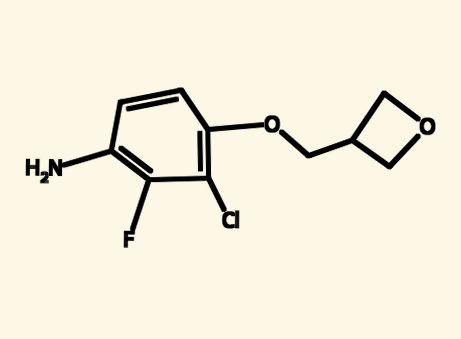 Nc1ccc(OCC2COC2)c(Cl)c1F